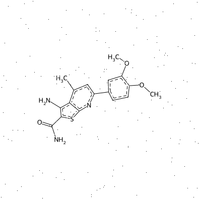 COc1ccc(-c2cc(C)c3c(N)c(C(N)=O)sc3n2)cc1OC